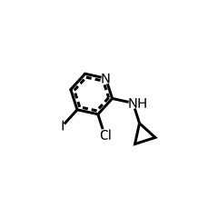 Clc1c(I)ccnc1NC1CC1